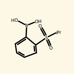 CC(C)S(=O)(=O)c1ccccc1B(O)O